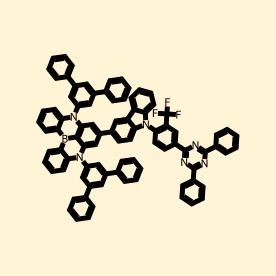 FC(F)(F)c1cc(-c2nc(-c3ccccc3)nc(-c3ccccc3)n2)ccc1-n1c2ccccc2c2cc(-c3cc4c5c(c3)N(c3cc(-c6ccccc6)cc(-c6ccccc6)c3)c3ccccc3B5c3ccccc3N4c3cc(-c4ccccc4)cc(-c4ccccc4)c3)ccc21